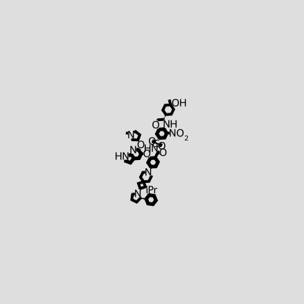 CC(C)c1ccccc1[C@H]1CCCN1C1CC2(CCN(c3ccc(C(=O)NS(=O)(=O)c4cc5c(c([N+](=O)[O-])c4)N[C@@H](C4CCC(C)(O)CC4)CO5)c(Oc4cc5cc[nH]c5nc4O[C@@H]4CCN(C)C4)c3)CC2)C1